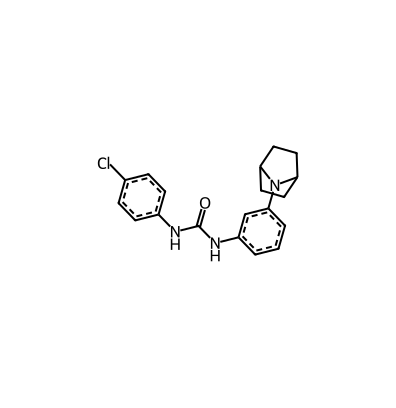 O=C(Nc1ccc(Cl)cc1)Nc1cccc(N2C3CCC2CC3)c1